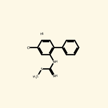 CSC(=N)Nc1cc(Cl)ccc1-c1ccccc1.I